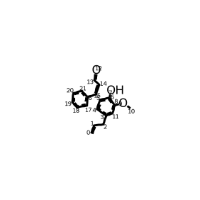 C=CCc1ccc(O)c(OC)c1.O=C/C=C\c1ccccc1